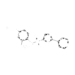 COc1cc(C(=O)O)ccc1NS(=O)(=O)c1csc(-c2ccncc2)n1